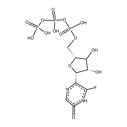 O=c1cnc([C@@H]2O[C@H](COP(=O)(O)OP(=O)(O)OP(=O)(O)O)C(O)[C@@H]2O)c(F)[nH]1